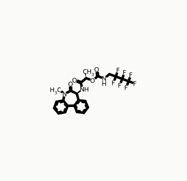 C[C@H](OC(=O)NCC(F)(F)C(F)(F)C(F)(F)F)C(=O)N[C@@H]1C(=O)N(C)c2ccccc2-c2ccccc21